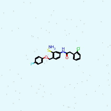 NSc1cc(NC(=O)Cc2ccccc2Cl)ccc1COc1ccc(F)cc1